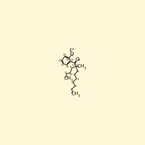 CCCCCCCC(C)(CCCC)C(=O)c1ccccc1OI